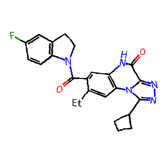 CCc1cc2c(cc1C(=O)N1CCc3cc(F)ccc31)[nH]c(=O)c1nnc(C3CCC3)n12